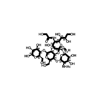 CC(=O)N[C@H]1[C@H](O[C@@H]2[C@H](O[C@]3(C(=O)O)C[C@H](O)[C@@H](NC(=O)CO)[C@H]([C@H](O)[C@H](O)CO)O3)[C@@H](O)[C@H](O[C@H]3[C@H](O)[C@@H](O)[C@H](O)O[C@@H]3CO)O[C@@H]2CO)O[C@H](CO)[C@H](O)[C@@H]1O